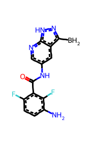 Bc1n[nH]c2ncc(NC(=O)c3c(F)ccc(N)c3F)cc12